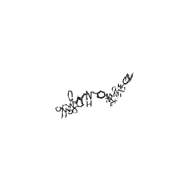 O=C1CCC(N2C(=O)c3ccc(CNCc4ccc(-n5cc(NC(=O)c6coc(-c7ccncc7)n6)c(C(F)F)n5)cc4)cc3C2=O)C(=O)N1